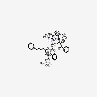 C/C1=C(/C(C)(C)O)[C@@H](O)C(=O)[C@@]2(C)C([C@H](OC(=O)c3ccccc3)C[C@@H]1OC(=O)[C@H](OC(=O)CCCCN1CCCCC1)[C@@H](NC(=O)OC(C)(C)C)c1ccccc1)[C@]1(O)CO[C@@H]1C[C@@H]2O